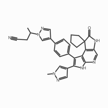 CC(CC#N)n1cc(-c2ccc(-c3c(-c4cnn(C)c4)[nH]c4ncc5c(c34)C3(CCCC3)C(=O)N5)cc2)cn1